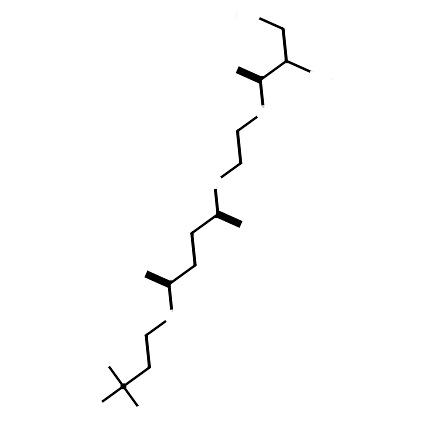 CCC(C)C(=O)OCCOC(=O)CCC(=O)OCCC(F)(F)F